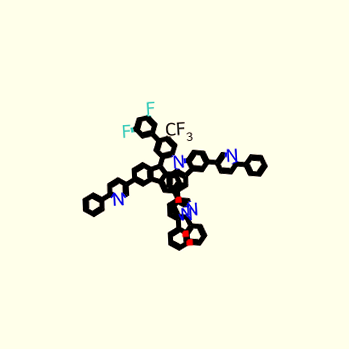 Fc1cc(F)cc(-c2cc(C3c4ccc(-c5ccc(-c6ccccc6)nc5)cc4-c4cc(-c5ccc(-c6ccccc6)nc5)ccc43)c(-n3c4ccc(-c5ccc(-c6ccccc6)nc5)cc4c4cc(-c5ccc(-c6ccccc6)nc5)ccc43)cc2C(F)(F)F)c1